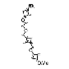 COC1CC(OCC23CC(COCCOC4CN(C(C)(C)C)C4)(C2)C3)C1